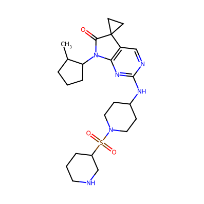 CC1CCCC1N1C(=O)C2(CC2)c2cnc(NC3CCN(S(=O)(=O)C4CCCNC4)CC3)nc21